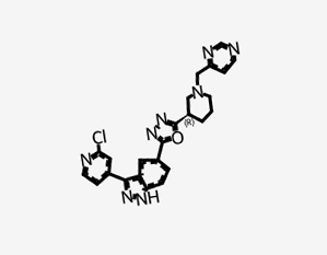 Clc1cc(-c2n[nH]c3ccc(-c4nnc([C@@H]5CCCN(Cc6ccncn6)C5)o4)cc23)ccn1